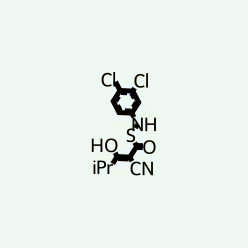 CC(C)C(O)=C(C#N)C(=O)SNc1ccc(Cl)c(Cl)c1